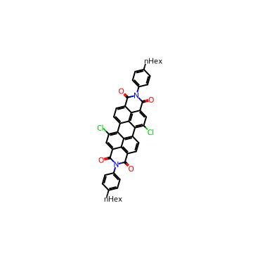 CCCCCCc1ccc(N2C(=O)c3ccc4c5c(Cl)cc6c7c(ccc(c8c(Cl)cc(c3c48)C2=O)c75)C(=O)N(c2ccc(CCCCCC)cc2)C6=O)cc1